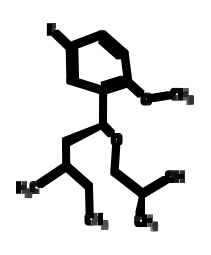 CCC(C)C[C@H](OC[C@H](C)O)c1cc(F)ccc1OC